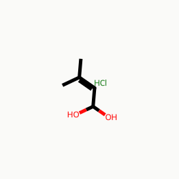 CC(C)=CC(O)O.Cl